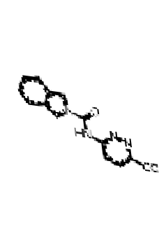 O=C(O)c1ccc(NC(=O)n2cc3ccccc3c2)nn1